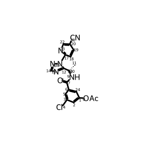 CC(=O)Oc1cc(Cl)cc(C(=O)N[C@@H](C)c2ncnn2-c2ccc(C#N)cn2)c1